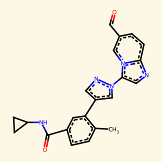 Cc1ccc(C(=O)NC2CC2)cc1-c1cnn(-c2cnc3ccc(C=O)cn23)c1